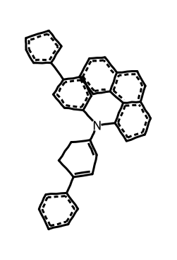 C1=C(c2ccccc2)CCC(N(c2ccc(-c3ccccc3)cc2)c2cccc3ccc4ccccc4c23)=C1